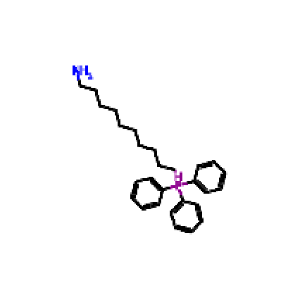 NCCCCCCCCCC[PH](c1ccccc1)(c1ccccc1)c1ccccc1